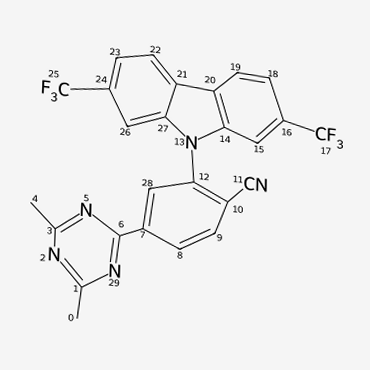 Cc1nc(C)nc(-c2ccc(C#N)c(-n3c4cc(C(F)(F)F)ccc4c4ccc(C(F)(F)F)cc43)c2)n1